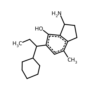 CCC(c1cc(C)c2c(c1O)C(N)CC2)C1CCCCC1